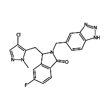 Cn1ncc(Cl)c1CC1c2cc(F)ccc2C(=O)N1Cc1ccc2[nH]nnc2c1